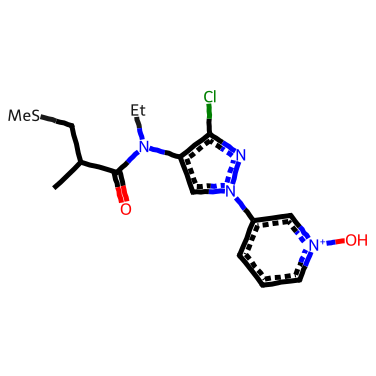 CCN(C(=O)C(C)CSC)c1cn(-c2ccc[n+](O)c2)nc1Cl